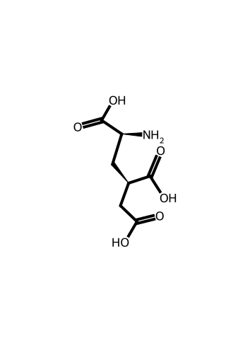 N[C@@H](C[C@H](CC(=O)O)C(=O)O)C(=O)O